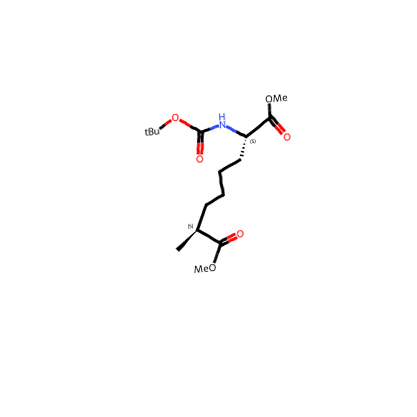 COC(=O)[C@H](CCCC[C@H](C)C(=O)OC)NC(=O)OC(C)(C)C